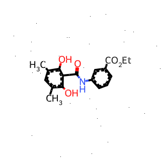 CCOC(=O)c1cccc(NC(=O)c2c(O)c(C)cc(C)c2O)c1